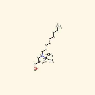 CCCCCCCCCN(CCCO)C(C)(C)C